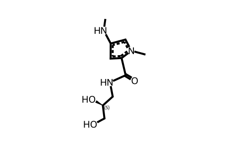 CNc1cc(C(=O)NC[C@H](O)CO)n(C)c1